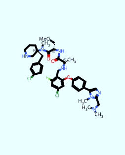 COC[C@H](NC(=O)[C@H](C)NCc1c(F)cc(Cl)cc1Oc1ccc(-c2cnc(CN(C)C)n2C)cc1)C(=O)N(C)[C@@]1(Cc2ccc(Cl)cc2)CCCNC1